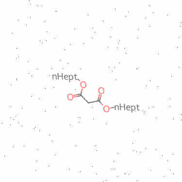 CCCCCCCOC(=O)CC(=O)OCCCCCCC